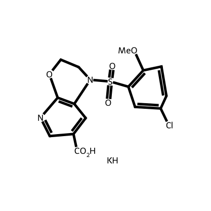 COc1ccc(Cl)cc1S(=O)(=O)N1CCOc2ncc(C(=O)O)cc21.[KH]